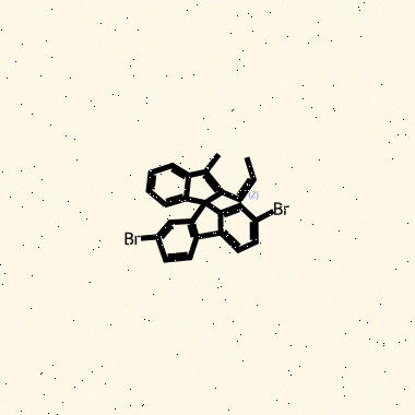 C/C=C\C1=C(C)c2ccccc2C12c1cc(Br)ccc1-c1ccc(Br)cc12